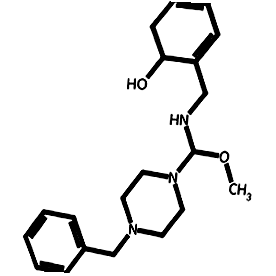 COC(NCC1=CC=CCC1O)N1CCN(Cc2ccccc2)CC1